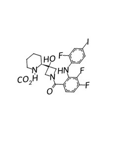 O=C(c1ccc(F)c(F)c1Nc1ccc(I)cc1F)N1CC(O)([C@@H]2CCCCN2C(=O)O)C1